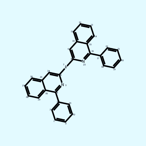 c1ccc(-c2n[c]([Ir][c]3cc4ccccc4c(-c4ccccc4)n3)cc3ccccc23)cc1